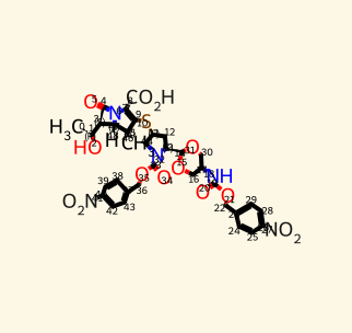 C[C@@H](O)[C@H]1C(=O)N2C(C(=O)O)=C(S[C@H]3C[C@@H](C4OCC(NC(=O)OCc5ccc([N+](=O)[O-])cc5)CO4)N(C(=O)OCc4ccc([N+](=O)[O-])cc4)C3)[C@H](C)[C@H]12